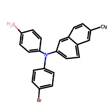 Bc1ccc(N(c2ccc(Br)cc2)c2ccc3cc(C#N)ccc3c2)cc1